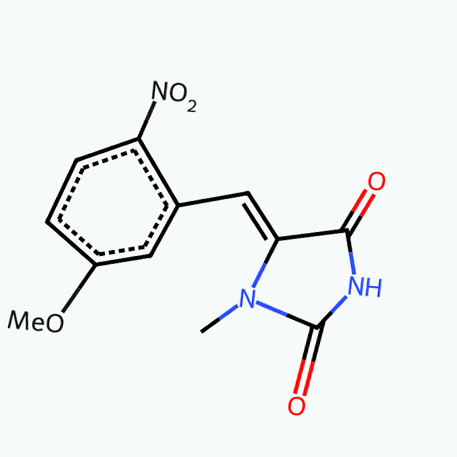 COc1ccc([N+](=O)[O-])c(C=C2C(=O)NC(=O)N2C)c1